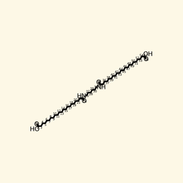 O=C(O)CCCCCCCCCCCCCCCCCCCCC(=O)NCCCCCCNC(=O)CCCCCCCCCCCCCCCCCCCCC(=O)O